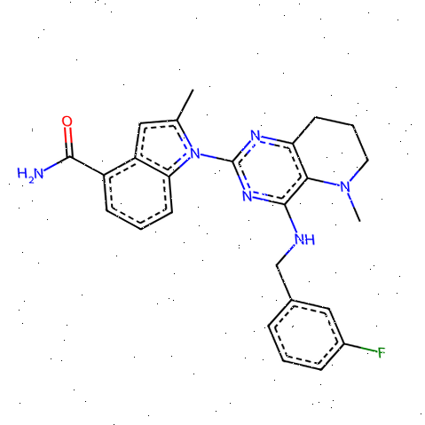 Cc1cc2c(C(N)=O)cccc2n1-c1nc2c(c(NCc3cccc(F)c3)n1)N(C)CCC2